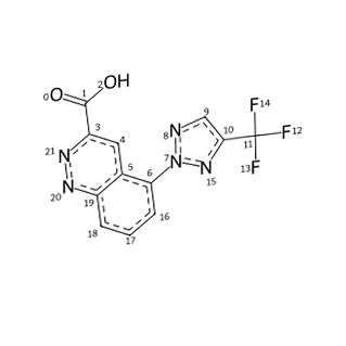 O=C(O)c1cc2c(-n3ncc(C(F)(F)F)n3)cccc2nn1